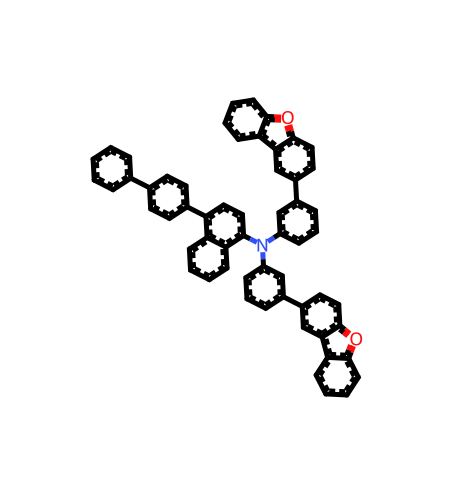 c1ccc(-c2ccc(-c3ccc(N(c4cccc(-c5ccc6oc7ccccc7c6c5)c4)c4cccc(-c5ccc6oc7ccccc7c6c5)c4)c4ccccc34)cc2)cc1